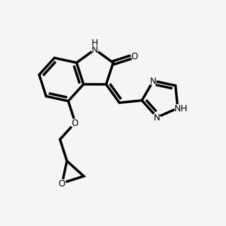 O=C1Nc2cccc(OCC3CO3)c2C1=Cc1nc[nH]n1